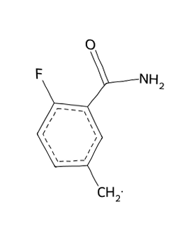 [CH2]c1ccc(F)c(C(N)=O)c1